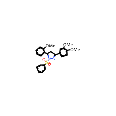 COc1ccc(C2=NN(S(=O)(=O)c3ccccc3)C(c3ccccc3OC)C2)cc1OC